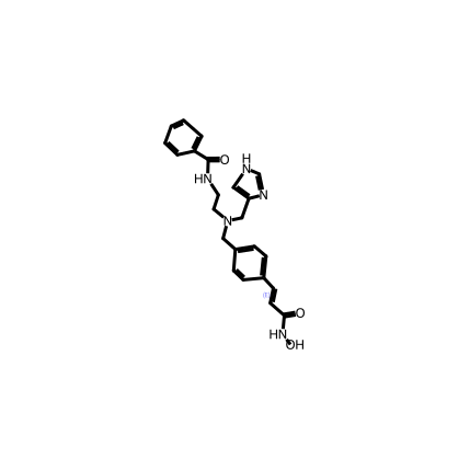 O=C(/C=C/c1ccc(CN(CCNC(=O)c2ccccc2)Cc2c[nH]cn2)cc1)NO